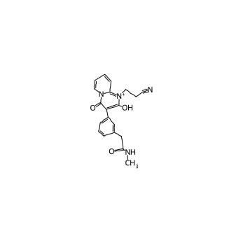 CNC(=O)Cc1cccc(-c2c(O)[n+](CCC#N)c3ccccn3c2=O)c1